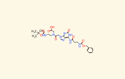 CC(C)(C)OC(=O)NCCN(CC(=O)O)C(=O)Cn1cnc2c(NC(=O)CCNC(=O)OCc3ccccc3)[nH]c(=O)nc21